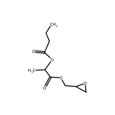 CCCC(=O)OC(C)C(=O)OCC1CO1